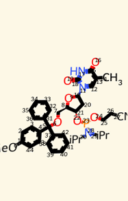 COc1ccc(C(OC[C@H]2O[C@@H](n3cc(C)c(=O)[nH]c3=O)C[C@@H]2OP(OCCC#N)N(C(C)C)C(C)C)(c2ccccc2)c2ccccc2)cc1